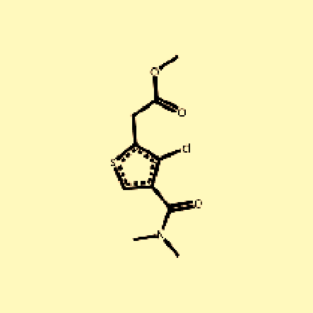 COC(=O)Cc1scc(C(=O)N(C)C)c1Cl